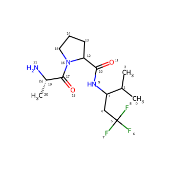 CC(C)C(CC(F)(F)F)NC(=O)C1CCCN1C(=O)[C@H](C)N